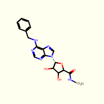 CCOC(=O)NC(=O)C1O[C@@H](n2cnc3c(NCc4ccccc4)ncnc32)C(O)C1O